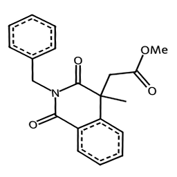 COC(=O)CC1(C)C(=O)N(Cc2ccccc2)C(=O)c2ccccc21